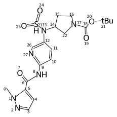 Cn1nccc1C(=O)Nc1ccc(N(C2CCN(C(=O)OC(C)(C)C)C2)[SH](=O)=O)cn1